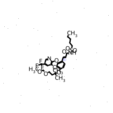 CCCCCS(=O)(=O)NC(=O)/C=C/c1ccc(OC(C)(C)CCOCOC)cc1Oc1ncc(C(F)(F)F)cc1Cl